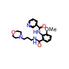 COc1cccc(C(=O)NCCCN2CCOCC2)c1NC(=O)c1cccnc1